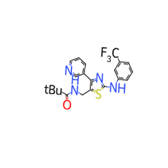 CC(C)(C)C(=O)NCc1sc(Nc2cccc(C(F)(F)F)c2)nc1-c1cccnc1